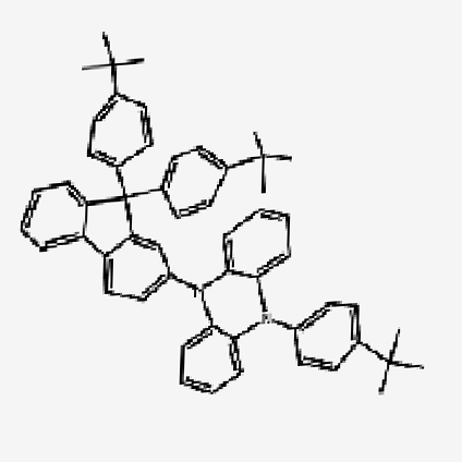 CC(C)(C)c1ccc(N2c3ccccc3N(c3ccc4c(c3)C(c3ccc(C(C)(C)C)cc3)(c3ccc(C(C)(C)C)cc3)c3ccccc3-4)c3ccccc32)cc1